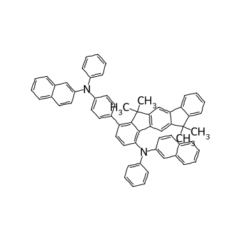 CC1(C)c2ccccc2-c2cc3c(cc21)-c1c(N(c2ccccc2)c2ccc4ccccc4c2)ccc(-c2ccc(N(c4ccccc4)c4ccc5ccccc5c4)cc2)c1C3(C)C